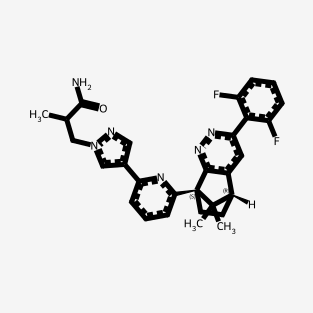 CC(Cn1cc(-c2cccc([C@@]34CC[C@@H](c5cc(-c6c(F)cccc6F)nnc53)C4(C)C)n2)cn1)C(N)=O